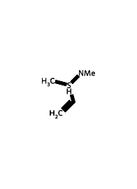 C=C[SH](C)NC